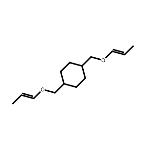 CC=COCC1CCC(COC=CC)CC1